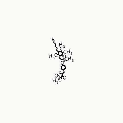 Cc1c(C)c2c(c(C)c1CCCCCCI)CCC(C)(COc1ccc(/C=C3\SC(=O)N(C)C3=O)cc1)O2